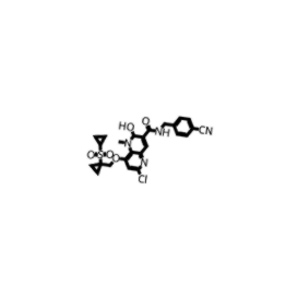 CN1c2c(OCC3(S(=O)(=O)C4CC4)CC3)cc(Cl)nc2C=C(C(=O)NCc2ccc(C#N)cc2)C1O